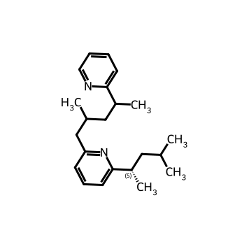 CC(C)C[C@H](C)c1cccc(CC(C)CC(C)c2ccccn2)n1